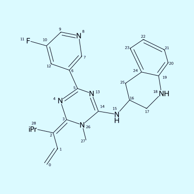 C=C/C(=C1/N=C(c2cncc(F)c2)N=C(NC2CNc3ccccc3C2)N1C)C(C)C